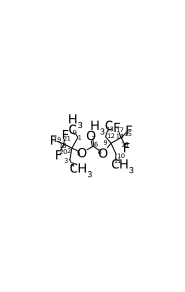 CCC(CC)(OC(=O)OC(CC)(CC)C(F)(F)F)C(F)(F)F